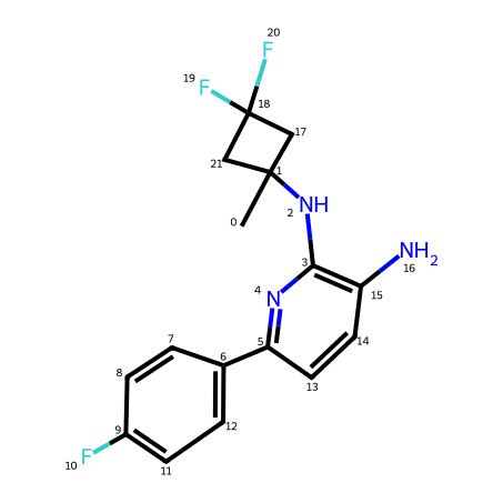 CC1(Nc2nc(-c3ccc(F)cc3)ccc2N)CC(F)(F)C1